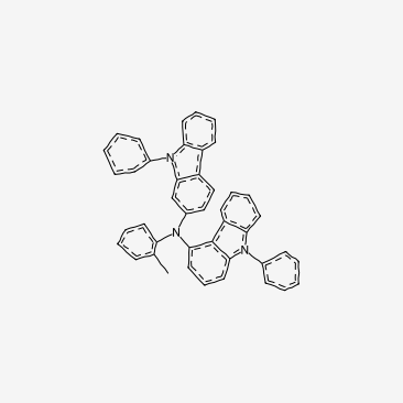 Cc1ccccc1N(c1ccc2c3ccccc3n(-c3ccccc3)c2c1)c1cccc2c1c1ccccc1n2-c1ccccc1